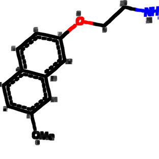 COc1ccc2ccc(OCCN)cc2c1